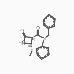 CC[C@@H]1NC(=O)[C@H]1C(=O)N(Cc1ccccc1)c1ccccc1